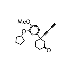 C#CC#CC1(c2ccc(OC)c(OC3CCCC3)c2)CCCC(=O)C1